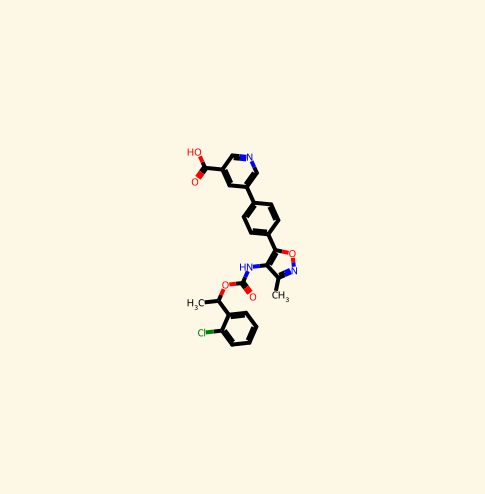 Cc1noc(-c2ccc(-c3cncc(C(=O)O)c3)cc2)c1NC(=O)OC(C)c1ccccc1Cl